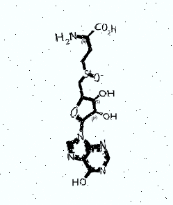 N[C@H](CC[S+]([O-])CC1OC(n2cnc3c(O)ncnc32)[C@H](O)[C@@H]1O)C(=O)O